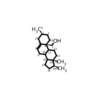 C[C@H]1CC[C@@]2(CO)C(=CCC3C2CC[C@@]2(C)C3CC[C@@H]2C)C1